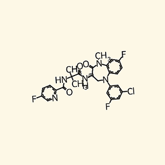 CN1C(=O)[C@H](NC(=O)C(C)(C)NC(=O)c2ccc(F)cn2)CN(c2cc(F)cc(Cl)c2)c2ccc(F)cc21